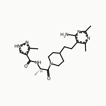 Cc1nc(C)c(CCC2CCN(C(=O)[C@H](C)NC(=O)c3c[nH]nc3C)CC2)c(N)n1